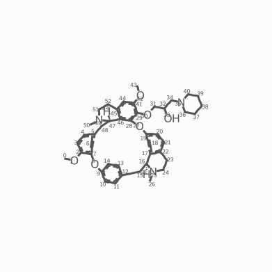 COc1ccc2cc1Oc1ccc(cc1)C[C@H]1c3cc(ccc3CCN1C)Oc1c(OCC(O)CN3CCCCC3)c(OC)cc3c1[C@H](C2)N(C)CC3